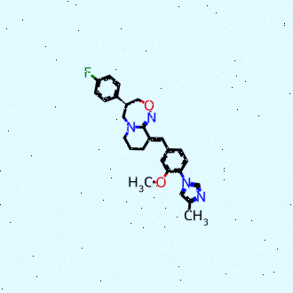 COc1cc(/C=C2\CCCN3C[C@@H](c4ccc(F)cc4)CON=C23)ccc1-n1cnc(C)c1